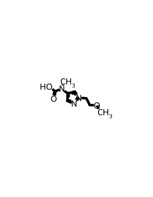 COCCn1cc(N(C)C(=O)O)cn1